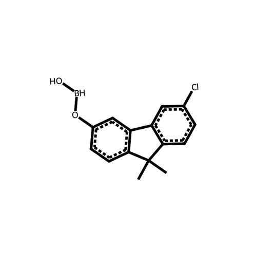 CC1(C)c2ccc(Cl)cc2-c2cc(OBO)ccc21